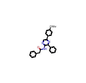 COc1ccc(-c2cnc(NC(=O)Cc3ccccc3)c(-c3ccccc3)n2)cc1